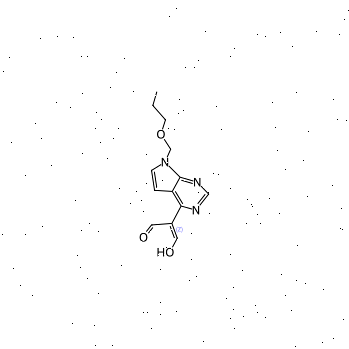 CCCOCn1ccc2c(/C(C=O)=C/O)ncnc21